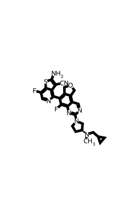 CN(CC1CC1)[C@H]1CCN(c2ncc3c4c(c(-c5ncc(F)c6sc(N)c(C#N)c56)c(F)c3n2)COC4)C1